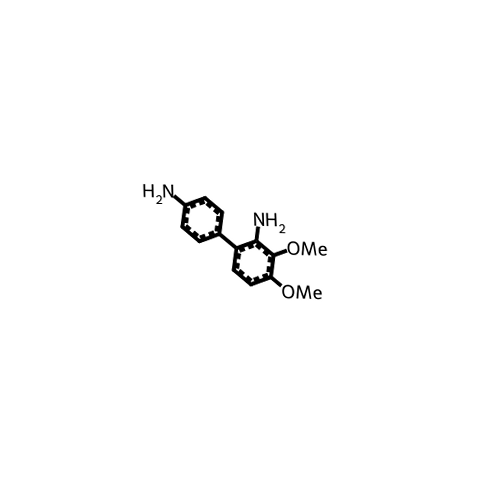 COc1ccc(-c2ccc(N)cc2)c(N)c1OC